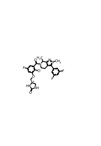 CC1c2nn(C)c(-c3cc(F)cc(F)c3)c2CCN1C(=O)c1cc(F)cc(OC[C@H]2CNC(=O)N2)c1Cl